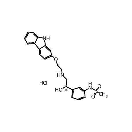 CS(=O)(=O)Nc1cccc([C@@H](O)CNCCOc2ccc3c(c2)[nH]c2ccccc23)c1.Cl